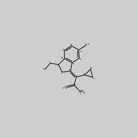 CCC1C/C(=C(\C(N)=O)C2CC2)c2cc(F)ccc21